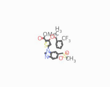 COC(=O)c1sc(-n2cnc3ccc(CS(C)(=O)=O)cc32)cc1O[C@H](C)c1ccccc1C(F)(F)F